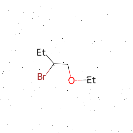 CCOC[C](Br)CC